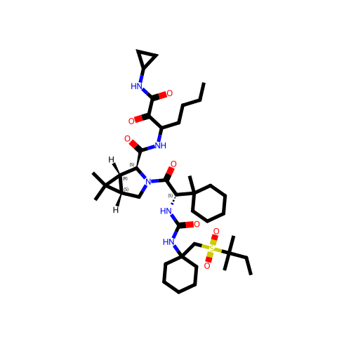 CCCCC(NC(=O)[C@@H]1[C@@H]2[C@H](CN1C(=O)[C@@H](NC(=O)NC1(CS(=O)(=O)C(C)(C)CC)CCCCC1)C1(C)CCCCC1)C2(C)C)C(=O)C(=O)NC1CC1